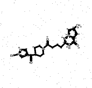 CCn1cc(C(=O)C2CCN(C(=O)CCCc3nn4cc(C)cc4c(=O)[nH]3)CC2)cn1